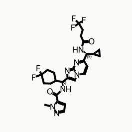 Cn1nccc1C(=O)N[C@H](c1cn2ccc([C@@H](NC(=O)CCC(F)(F)F)C3CC3)nc2n1)C1CCC(F)(F)CC1